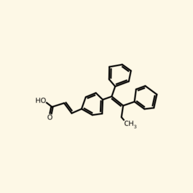 CCC(=C(c1ccccc1)c1ccc(C=CC(=O)O)cc1)c1ccccc1